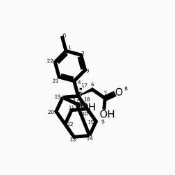 Cc1ccc([C@]2(CC(=O)O)C3CC4CC(C3)[C@](C)(O)C2C4)cc1